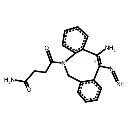 N=N/C1=C(\N)c2ccccc2N(C(=O)CCC(N)=O)Cc2ccccc21